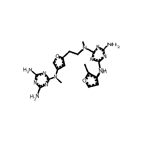 Cc1occc1Nc1nc(N)nc(N(C)CCc2cc(N(C)c3nc(N)nc(N)n3)co2)n1